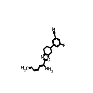 C=C/C=C\C=C(/N)c1nc2c(o1)CC(c1cc(F)cc(C#N)c1)CC2